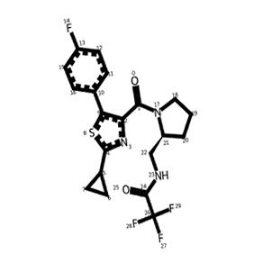 O=C(c1nc(C2CC2)sc1-c1ccc(F)cc1)N1CCC[C@H]1CNC(=O)C(F)(F)F